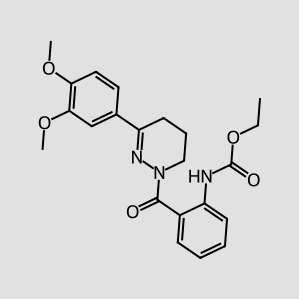 CCOC(=O)Nc1ccccc1C(=O)N1CCCC(c2ccc(OC)c(OC)c2)=N1